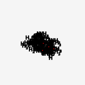 CC[C@H]1O[C@@H](n2cnc3c(N)ncnc32)CC1OP(=O)(S)OC[C@H]1O[C@@H](N2C=C(C)C(N)NC2=O)[C@@H](OCCOC)C1OP(=O)(O)OC[C@H]1O[C@@H](n2cc(C)c(N)nc2=O)[C@@H](OCCOC)C1OP(=O)(O)OC[C@H]1O[C@@H](n2cnc3c(N)ncnc32)[C@@H](OCCOC)C1OP(=O)(S)OC[C@H]1O[C@@H](n2cc(C)c(=O)[nH]c2=O)[C@@H](OCCOC)C1OP(=O)(S)OC[C@H]1O[C@@H](n2cc(C)c(N)nc2=O)[C@@H](OCCOC)C1O